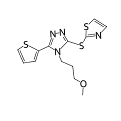 COCCCn1c(Sc2nccs2)nnc1-c1cccs1